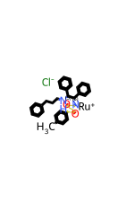 Cc1ccc(S(=O)(=O)[N]([Ru+])[C@@H](c2ccccc2)[C@@H](NCCCc2ccccc2)c2ccccc2)cc1.[Cl-]